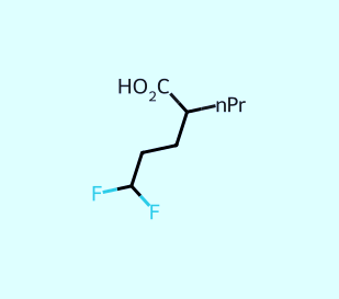 CCCC(CCC(F)F)C(=O)O